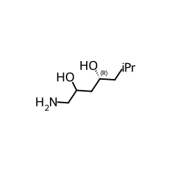 CC(C)C[C@@H](O)CC(O)CN